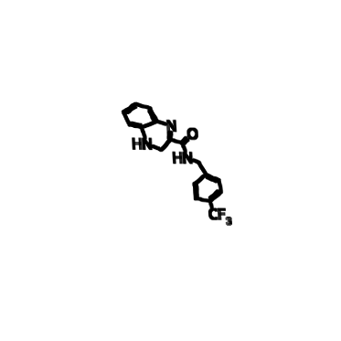 O=C(NCc1ccc(C(F)(F)F)cc1)C1=Nc2ccccc2NC1